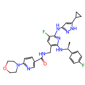 C[C@H](Nc1nc(Nc2cc(C3CC3)[nH]n2)c(F)cc1CNC(=O)c1ccc(N2CCOCC2)nc1)c1ccc(F)cc1